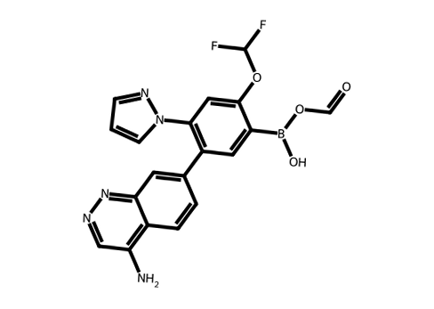 Nc1cnnc2cc(-c3cc(B(O)OC=O)c(OC(F)F)cc3-n3cccn3)ccc12